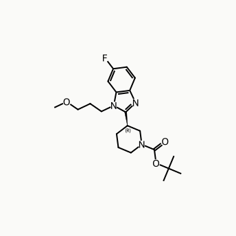 COCCCn1c([C@@H]2CCCN(C(=O)OC(C)(C)C)C2)nc2ccc(F)cc21